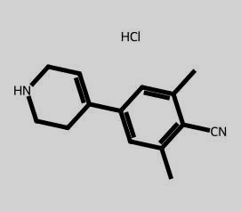 Cc1cc(C2=CCNCC2)cc(C)c1C#N.Cl